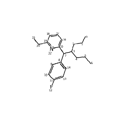 CCCC(CCC)C(c1ccc(F)cc1)c1cccc(CC)n1